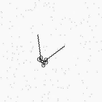 CCCCCCCCCCCCCCCCCCOC(=O)c1cc(C(=O)OCCCCCCCCCCCCCCCCCC)c(C=O)cc1C